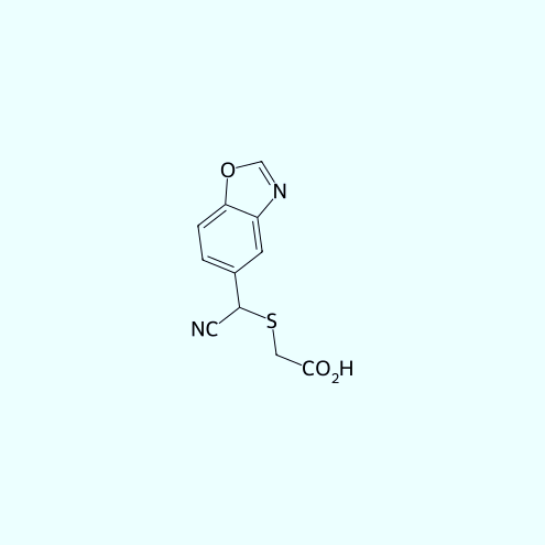 N#CC(SCC(=O)O)c1ccc2ocnc2c1